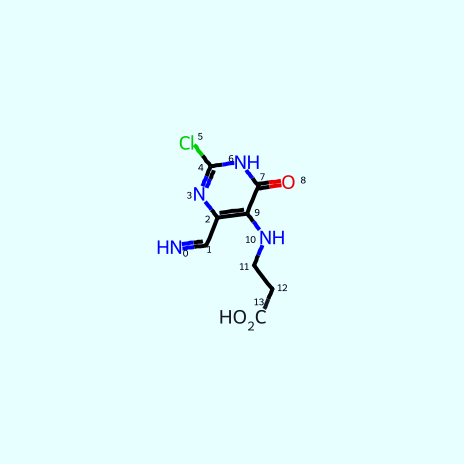 N=Cc1nc(Cl)[nH]c(=O)c1NCCC(=O)O